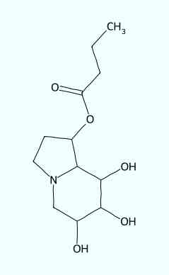 CCCC(=O)OC1CCN2CC(O)C(O)C(O)C12